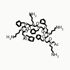 CC(=O)CN(CCCCN)C(=O)CN(Cc1ccccc1)C(=O)CN(CCCCN)C(=O)CN(Cc1ccccc1)C(=O)CN(Cc1ccccc1)C(=O)CN(CCCCN)C(=O)CN(Cc1ccccc1)C(=O)CN(CCCCN)C(=O)CN(Cc1ccccc1)C(C)=O